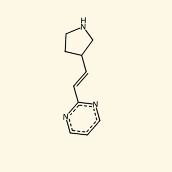 C(=CC1CCNC1)c1ncccn1